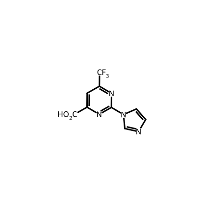 O=C(O)c1cc(C(F)(F)F)nc(-n2ccnc2)n1